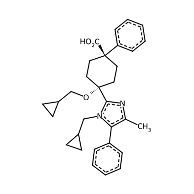 Cc1nc([C@]2(OCC3CC3)CC[C@@](C(=O)O)(c3ccccc3)CC2)n(CC2CC2)c1-c1ccccc1